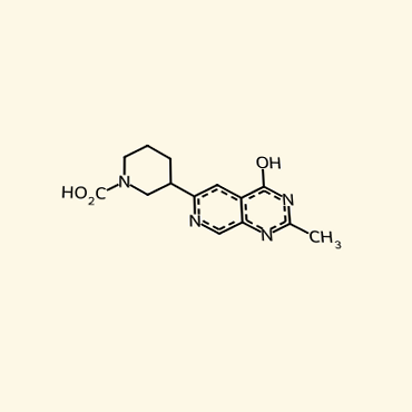 Cc1nc(O)c2cc(C3CCCN(C(=O)O)C3)ncc2n1